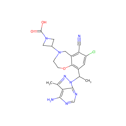 Cc1nn(C(C)c2cc(Cl)c(C#N)c3c2OCCN(C2CN(C(=O)O)C2)C3)c2ncnc(N)c12